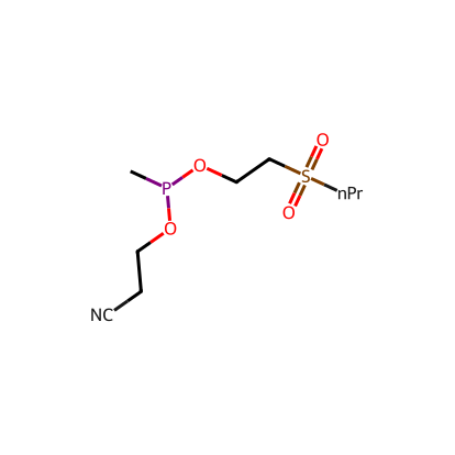 CCCS(=O)(=O)CCOP(C)OCCC#N